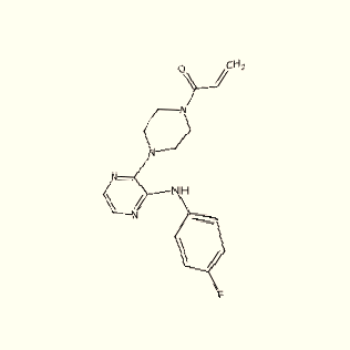 C=CC(=O)N1CCN(c2nccnc2Nc2ccc(F)cc2)CC1